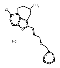 CN1CCc2c(Cl)ccc3oc(C=CCOCc4ccccc4)c(c23)C1.Cl